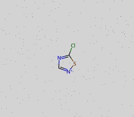 ClC1=NC=[N+]S1